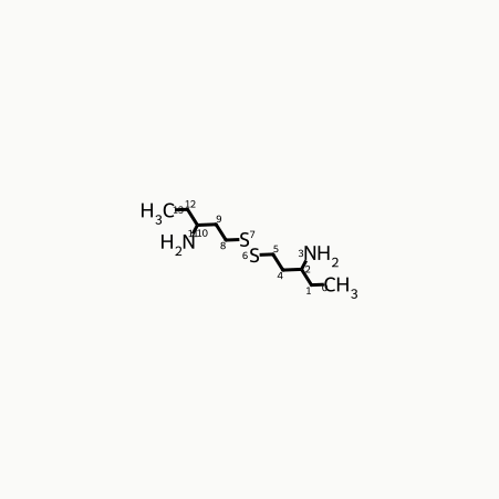 CCC(N)CCSSCCC(N)CC